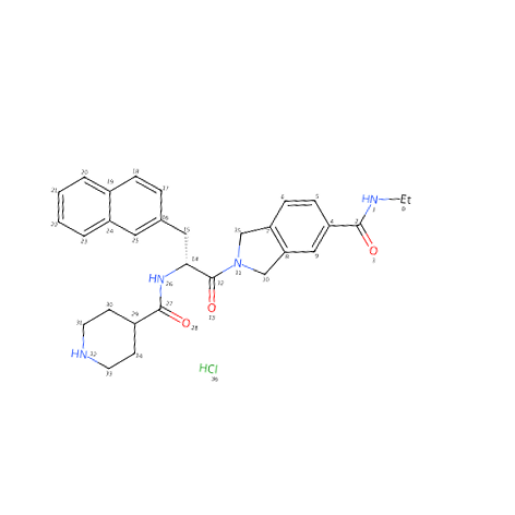 CCNC(=O)c1ccc2c(c1)CN(C(=O)[C@@H](Cc1ccc3ccccc3c1)NC(=O)C1CCNCC1)C2.Cl